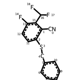 N#Cc1c(SCc2ccccc2)ccc(F)c1C(F)F